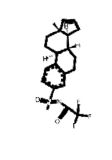 C[C@@]12[C]=CC[C@H]1[C@@H]1CCc3cc(S(C)(=O)=NC(=O)C(F)(F)F)ccc3[C@H]1CC2